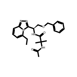 CCc1cccc2nnc([C@@H](COCc3ccccc3)NC(=O)C(C)(C)NC(C)=O)n12